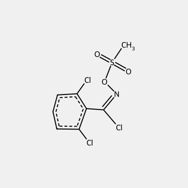 CS(=O)(=O)O/N=C(/Cl)c1c(Cl)cccc1Cl